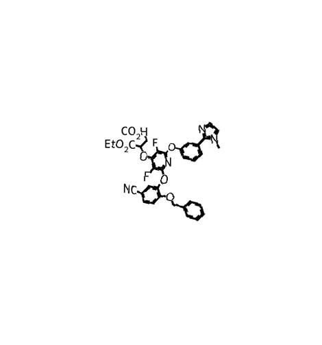 CCOC(=O)C(CC(=O)O)Oc1c(F)c(Oc2cccc(-c3nccn3C)c2)nc(Oc2cc(C#N)ccc2OCc2ccccc2)c1F